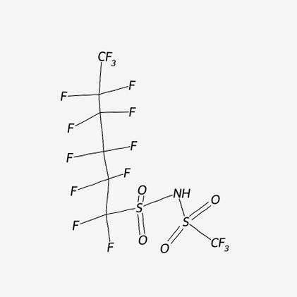 O=S(=O)(NS(=O)(=O)C(F)(F)C(F)(F)C(F)(F)C(F)(F)C(F)(F)C(F)(F)F)C(F)(F)F